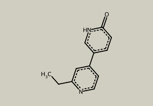 CCc1cc(-c2ccc(=O)[nH]c2)ccn1